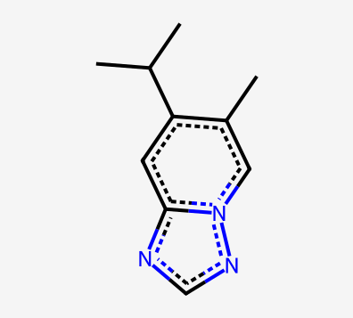 Cc1cn2ncnc2cc1C(C)C